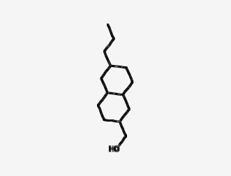 CCCC1CCC2CC(CO)CCC2C1